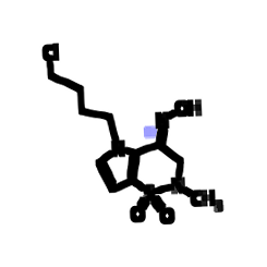 CN1C/C(=N\O)c2c(ccn2CCCCCl)S1(=O)=O